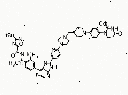 Cc1cc(-c2ncnc3[nH]c(-c4ccc(N5CCN(CC6CCN(c7ccc(N8CCC(=O)NC8=O)c(C)c7)CC6)CC5)nc4)nc23)ccc1[C@@H](C)NC(=O)c1nc(C(C)(C)C)no1